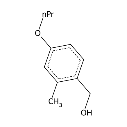 CCCOc1ccc(CO)c(C)c1